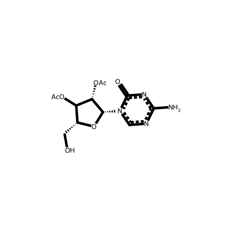 CC(=O)OC1[C@@H](CO)O[C@@H](n2cnc(N)nc2=O)[C@H]1OC(C)=O